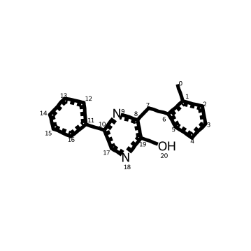 Cc1ccccc1Cc1nc(-c2ccccc2)cnc1O